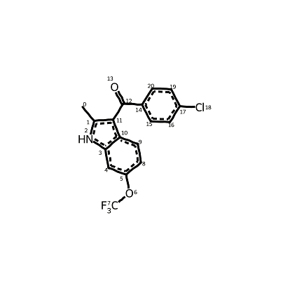 Cc1[nH]c2cc(OC(F)(F)F)ccc2c1C(=O)c1ccc(Cl)cc1